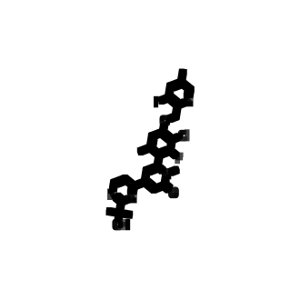 Cc1cnc(COc2cc(C)c(-c3cc(-c4ccnc(C(C)(C)O)n4)cc(=O)n3C)c(F)c2Cl)c(F)c1